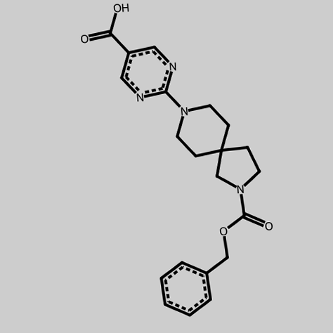 O=C(O)c1cnc(N2CCC3(CCN(C(=O)OCc4ccccc4)C3)CC2)nc1